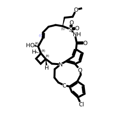 COCC[C@@H]1CC/C=C/[C@H](O)[C@@H]2CC[C@H]2CN2CCCCc3cc(Cl)ccc3COc3ccc(cc32)C(=O)NS1(=O)=O